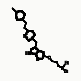 CCN(CC)CCCOc1cnc2[nH]cc(Cc3ccc(CCc4ccc(C)cc4)nc3)c2c1